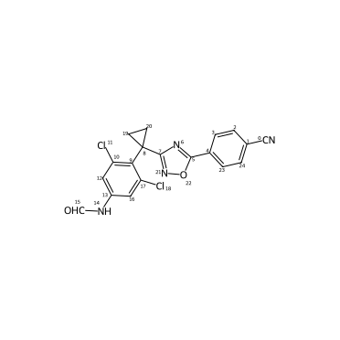 N#Cc1ccc(-c2nc(C3(c4c(Cl)cc(NC=O)cc4Cl)CC3)no2)cc1